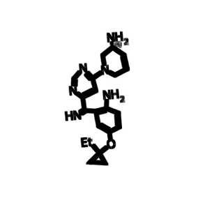 CCC1(Oc2ccc(N)c(C(=N)c3cc(N4CC=C[C@H](N)C4)ncn3)c2)CC1